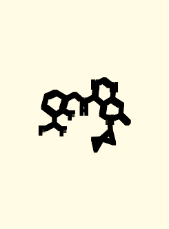 C=C1C=c2ncnc(NCc3cccc(C(F)F)c3F)c2=CN1C1CC12CC2